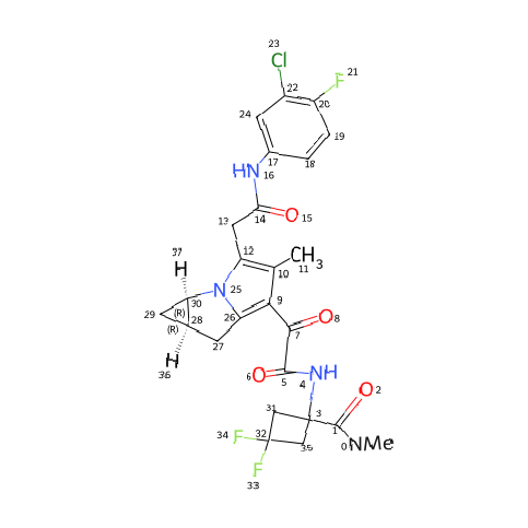 CNC(=O)C1(NC(=O)C(=O)c2c(C)c(CC(=O)Nc3ccc(F)c(Cl)c3)n3c2C[C@H]2C[C@H]23)CC(F)(F)C1